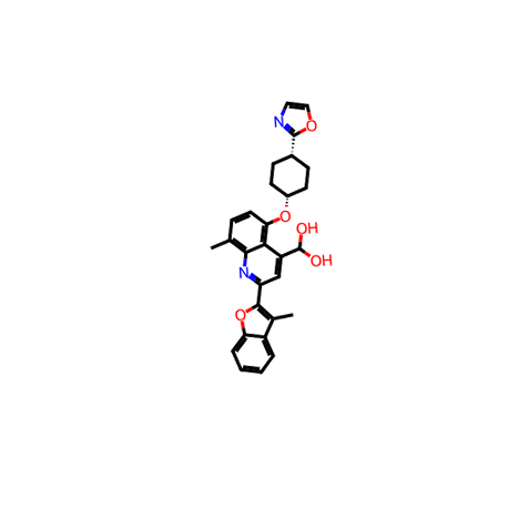 Cc1c(-c2cc(C(O)O)c3c(O[C@H]4CC[C@@H](c5ncco5)CC4)ccc(C)c3n2)oc2ccccc12